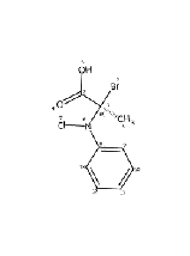 C[C@@](Br)(C(=O)O)N(Cl)c1ccccc1